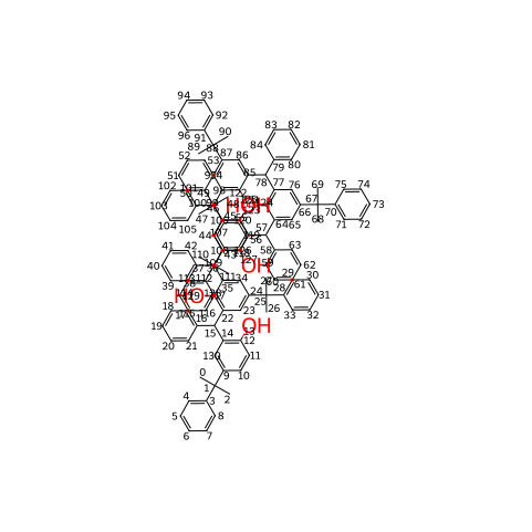 CC(C)(c1ccccc1)c1ccc(O)c(C(c2ccccc2)c2cc(C(C)(C)c3ccccc3)cc(C(c3ccccc3)c3cc(C(C)(C)c4ccccc4)cc(C(c4ccccc4)c4cc(C(C)(C)c5ccccc5)cc(C(c5ccccc5)c5cc(C(C)(C)c6ccccc6)cc(C(c6ccccc6)c6cc(C(C)(C)c7ccccc7)ccc6O)c5O)c4O)c3O)c2O)c1